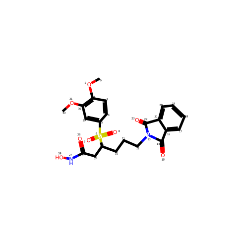 COc1ccc(S(=O)(=O)C(CCCN2C(=O)c3ccccc3C2=O)CC(=O)NO)cc1OC